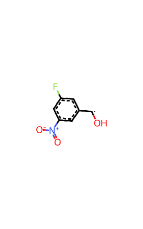 O=[N+]([O-])c1cc(F)cc([CH]O)c1